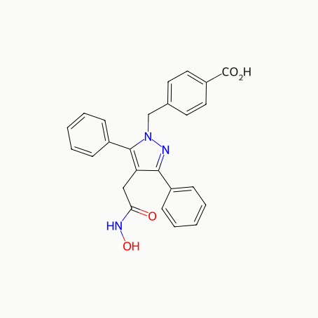 O=C(Cc1c(-c2ccccc2)nn(Cc2ccc(C(=O)O)cc2)c1-c1ccccc1)NO